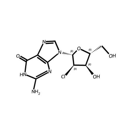 Nc1nc2c(ncn2[C@@H]2O[C@H](CO)[C@@H](O)[C@H]2Cl)c(=O)[nH]1